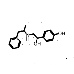 CC(Cc1ccccc1)NC[C@H](O)c1ccc(O)cc1